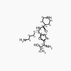 C[C@@H](O)[C@H](N)c1nnc([C@H](CCCCN)NC(=O)C2CCNCC2)o1